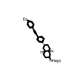 CCCCCCCC1CC[C@@H]2C[C@H](c3ccc(C#Cc4ccc(CC)cc4)cc3)CC[C@@H]2C1